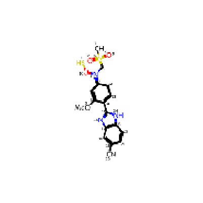 COC1=CC(=[N+](CS(C)(=O)=O)OS)CC=C1c1nc2cc(C#N)ccc2[nH]1